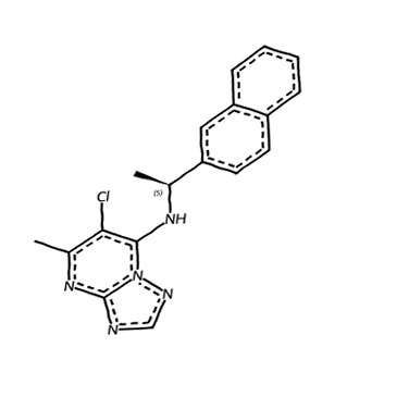 Cc1nc2ncnn2c(N[C@@H](C)c2ccc3ccccc3c2)c1Cl